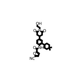 CC1(C)CC=C(c2cc(C3CC(=O)N(CCO)C(=O)C3)ccc2NC(=O)c2ccc(C#N)o2)CC1